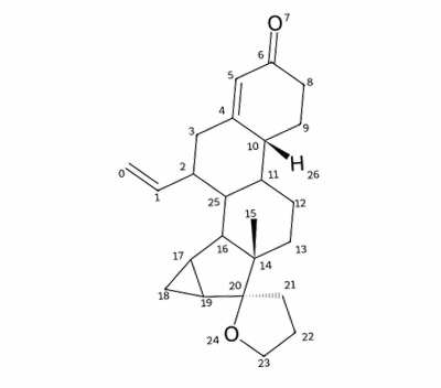 C=CC1CC2=CC(=O)CC[C@@H]2C2CC[C@@]3(C)C(C4CC4[C@@]34CCCO4)C12